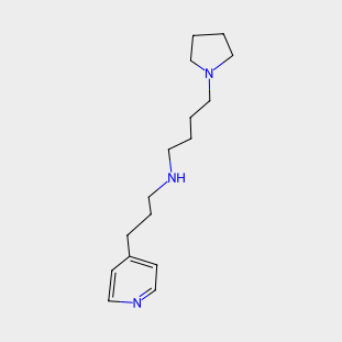 c1cc(CCCNCCCCN2CCCC2)ccn1